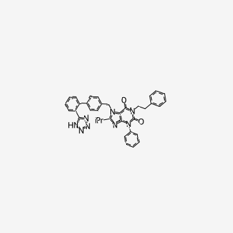 CC(C)c1nc2c(c(=O)n(CCc3ccccc3)c(=O)n2-c2ccccc2)n1Cc1ccc(-c2ccccc2-c2nnn[nH]2)cc1